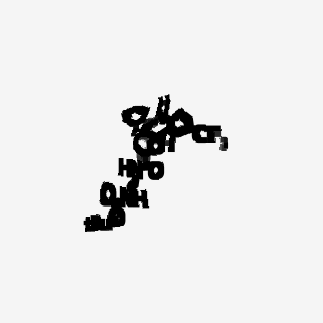 CC(C)(C)OC(=O)NCCNC(=O)[C@@H]1CC[C@@H]2[C@H](O1)c1cc(C(F)(F)F)ccc1N[C@H]2C1C=CC=CC1